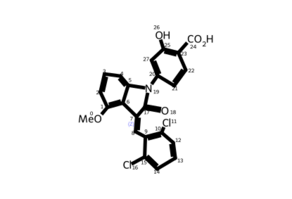 COc1cccc2c1/C(=C/c1c(Cl)cccc1Cl)C(=O)N2c1ccc(C(=O)O)c(O)c1